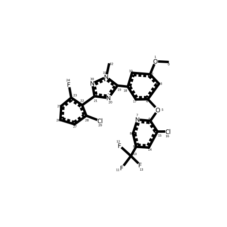 COc1cc(Oc2ncc(C(F)(F)F)cc2Cl)cc(-c2nc(-c3c(F)cccc3Cl)nn2C)c1